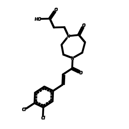 O=C(O)CCN1CCN(C(=O)/C=C/c2ccc(Cl)c(Cl)c2)CCC1=O